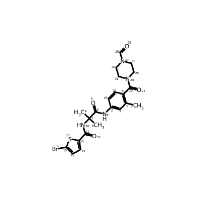 Cc1cc(NC(=O)C(C)(C)NC(=O)c2ccc(Br)s2)ccc1C(=O)N1CCN(C=O)CC1